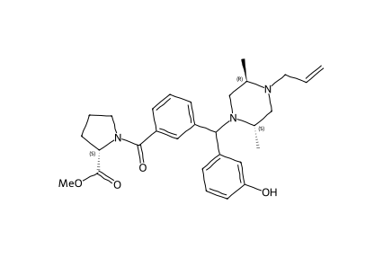 C=CCN1C[C@H](C)N(C(c2cccc(O)c2)c2cccc(C(=O)N3CCC[C@H]3C(=O)OC)c2)C[C@H]1C